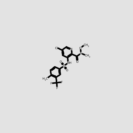 CON(C)C(=O)c1ncc(Cl)cc1NS(=O)(=O)c1ccc(C)c(C(F)(F)F)c1